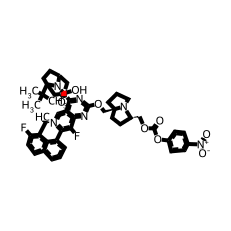 C#Cc1c(F)ccc2cccc(-c3ncc4c(N5CC6CCC(C(C)(C)C)(C5)N6C(=O)O)nc(OC[C@@]56CCCN5[C@H](COC(=O)Oc5ccc([N+](=O)[O-])cc5)CC6)nc4c3F)c12